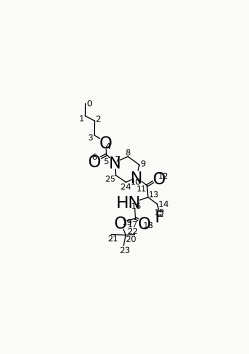 CCCCOC(=O)N1CCN(C(=O)C(CF)NC(=O)OC(C)(C)C)CC1